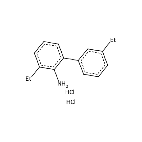 CCc1cccc(-c2cccc(CC)c2N)c1.Cl.Cl